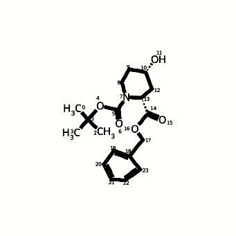 CC(C)(C)OC(=O)N1CC[C@H](O)C[C@@H]1C(=O)OCc1ccccc1